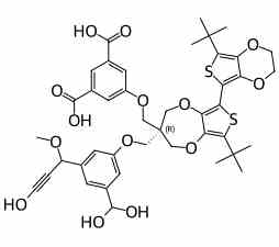 COC(C#CO)c1cc(OC[C@]2(COc3cc(C(=O)O)cc(C(=O)O)c3)COc3c(-c4sc(C(C)(C)C)c5c4OCCO5)sc(C(C)(C)C)c3OC2)cc(C(O)O)c1